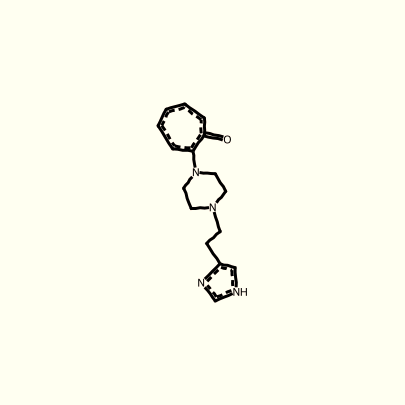 O=c1cccccc1N1CCN(CCc2c[nH]cn2)CC1